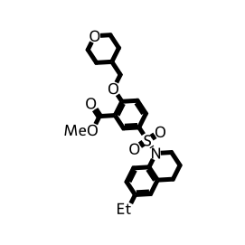 CCc1ccc2c(c1)CCCN2S(=O)(=O)c1ccc(OCC2CCOCC2)c(C(=O)OC)c1